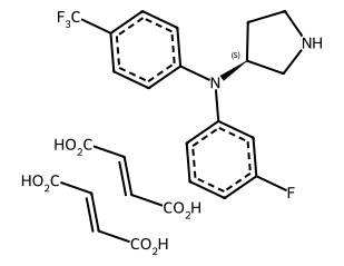 Fc1cccc(N(c2ccc(C(F)(F)F)cc2)[C@H]2CCNC2)c1.O=C(O)C=CC(=O)O.O=C(O)C=CC(=O)O